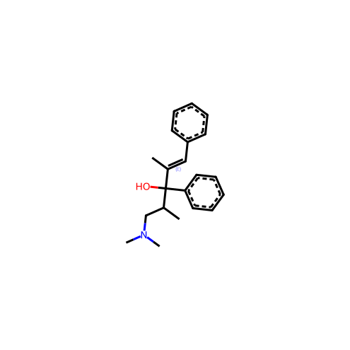 C/C(=C\c1ccccc1)C(O)(c1ccccc1)C(C)CN(C)C